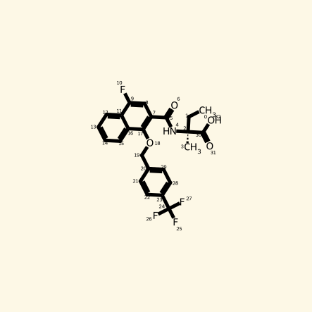 CC[C@](C)(NC(=O)c1cc(F)c2ccccc2c1OCc1ccc(C(F)(F)F)cc1)C(=O)O